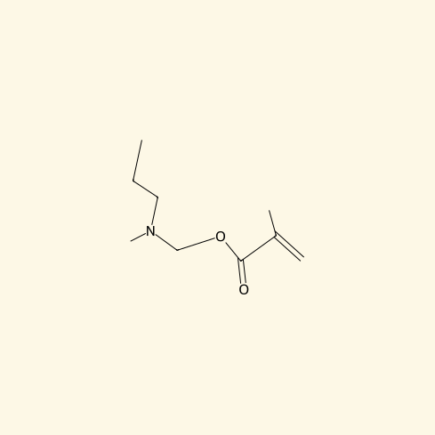 C=C(C)C(=O)OCN(C)CCC